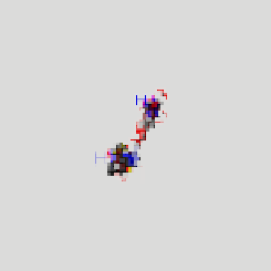 O=C1CCC(N2C(=O)c3ccc(OCCOCCOCCn4cnc(Sc5cc(NS(=O)(=O)c6cccs6)c6ccccc6c5O)n4)cc3C2=O)C(=O)N1